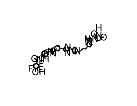 O=C1CCN(c2cnn3cc(CCCN4CCN(c5ncc(C6=CC7=N[N+]([C@]89CC[C@](CNC(=O)c%10cc(F)c(O)c(F)c%10F)(CC8)CC9)=CC7C=C6)cn5)CC4)ccc23)C(=O)N1